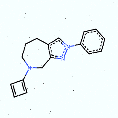 C1=CC(N2CCCc3cn(-c4ccccc4)nc3C2)=C1